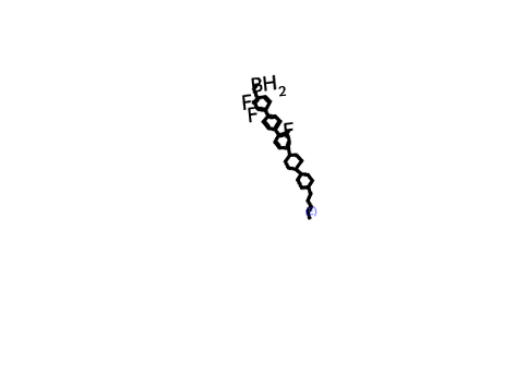 BCc1ccc(-c2ccc(-c3ccc(C4CCC(C5CCC(CC/C=C/C)CC5)CC4)cc3F)cc2)c(F)c1F